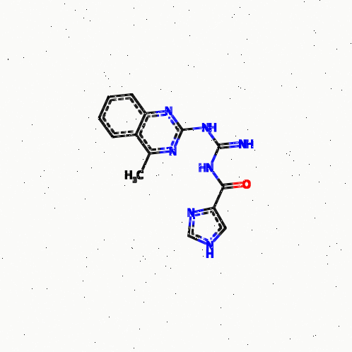 Cc1nc(NC(=N)NC(=O)c2c[nH]cn2)nc2ccccc12